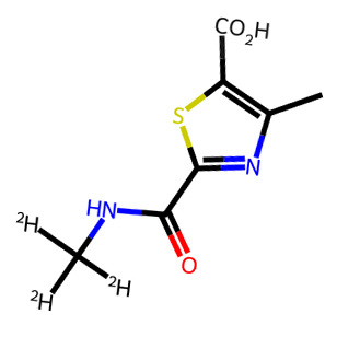 [2H]C([2H])([2H])NC(=O)c1nc(C)c(C(=O)O)s1